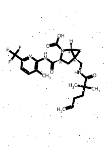 C=CCCC(C)(C)C(=O)NC[C@@]12C[C@@H](C(=O)Nc3nc(C(F)(F)F)ccc3C)N(C(=O)O)[C@@H]1C2